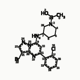 CB(O)N1CCCC(Nc2cc(-c3ccccc3Cl)nc3c(Br)cnn23)C1